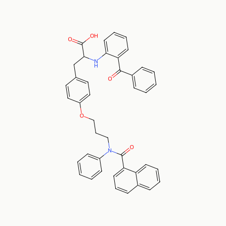 O=C(c1ccccc1)c1ccccc1NC(Cc1ccc(OCCCN(C(=O)c2cccc3ccccc23)c2ccccc2)cc1)C(=O)O